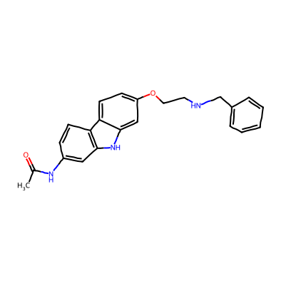 CC(=O)Nc1ccc2c(c1)[nH]c1cc(OCCNCc3ccccc3)ccc12